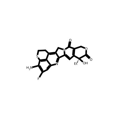 CC[C@@]1(O)C(=O)OCc2c1cc1n(c2=O)Cc2c-1nc1cc(F)c(N)c3c1c2CCS3